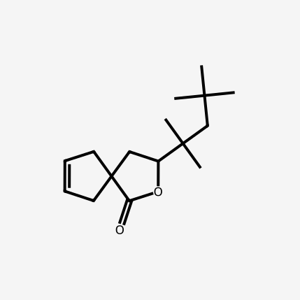 CC(C)(C)CC(C)(C)C1CC2(CC=CC2)C(=O)O1